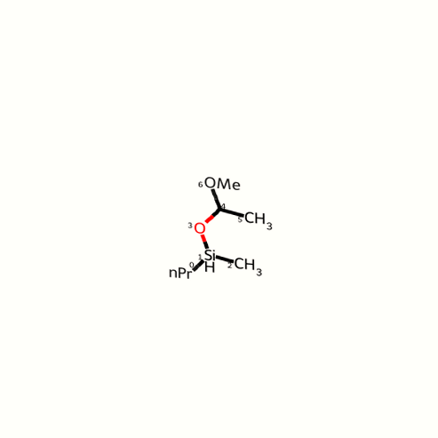 CCC[SiH](C)OC(C)OC